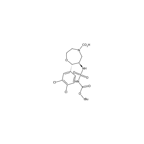 CC(C)(C)OC(=O)NS(=O)(=O)N[C@@H]1CN(C(=O)O)CCO[C@H]1c1ccc(Cl)c(Cl)c1